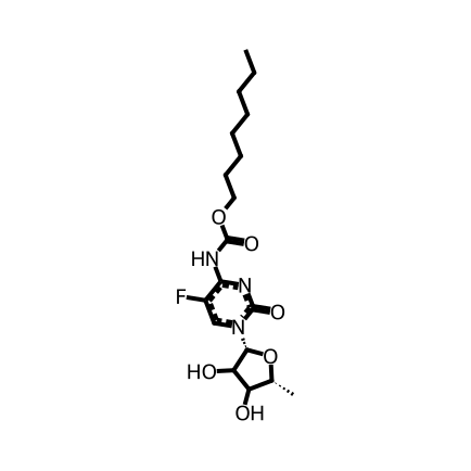 CCCCCCCCOC(=O)Nc1nc(=O)n([C@@H]2O[C@H](C)C(O)C2O)cc1F